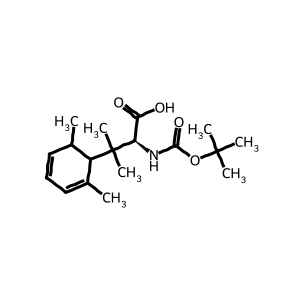 CC1=CC=CC(C)C1C(C)(C)[C@H](NC(=O)OC(C)(C)C)C(=O)O